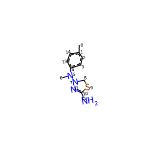 Cc1ccc(N(C)N2CSC(N)=N2)cc1